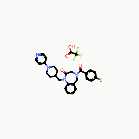 O=C(O)C(F)(F)F.O=C(c1ccc(Cl)cc1)N1CC(=O)N(CC2CCN(c3ccncc3)CC2)c2ccccc2C1